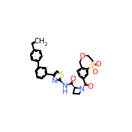 C=Cc1ccc(-c2cccc(-c3csc(NC(=O)[C@@H]4CCN4C(=O)c4ccc5c(c4)S(=O)(=O)CCOC5)n3)c2)cc1